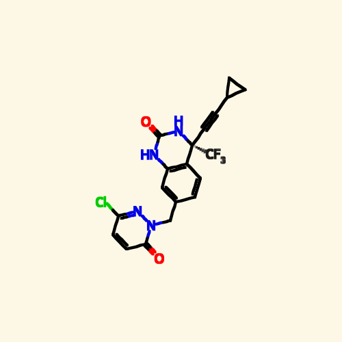 O=C1Nc2cc(Cn3nc(Cl)ccc3=O)ccc2[C@@](C#CC2CC2)(C(F)(F)F)N1